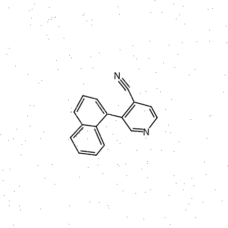 N#Cc1ccncc1-c1cc[c]c2ccccc12